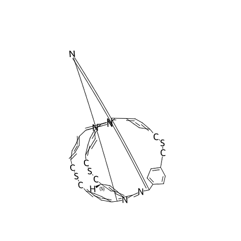 C1=C[C@@H]2CC=C1c1nc3nc(n1)-c1ccc(cc1)CSCc1ccc(cc1)-c1nc(nc(n1)-c1ccc(cc1)CSC2)-c1ccc(cc1)CSCc1ccc-3cc1